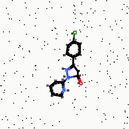 O=C1CC(c2ccc(Cl)cc2)=NN1c1ccccn1